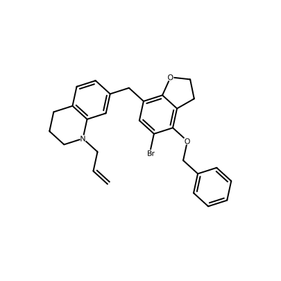 C=CCN1CCCc2ccc(Cc3cc(Br)c(OCc4ccccc4)c4c3OCC4)cc21